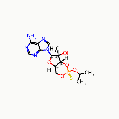 CC(C)OP1(=S)OC[C@H]2O[C@@H](n3cnc4c(N)ncnc43)[C@](C)(O)[C@@H]2O1